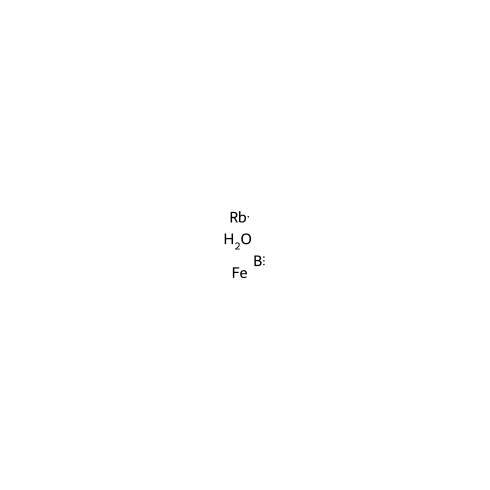 O.[B].[Fe].[Rb]